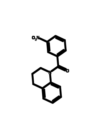 O=C(c1cccc([N+](=O)[O-])c1)N1CCCc2ccccc21